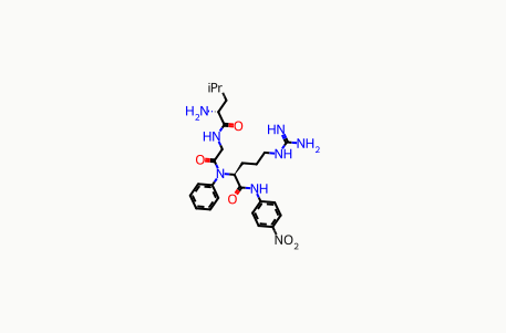 CC(C)C[C@@H](N)C(=O)NCC(=O)N(c1ccccc1)[C@@H](CCCNC(=N)N)C(=O)Nc1ccc([N+](=O)[O-])cc1